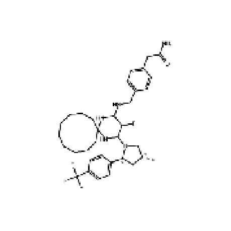 NC(=O)Cc1ccc(CNC2NC3(CCCCCCCCC3)NC(N3C[C@H](F)C[C@H]3c3ccc(C(F)(F)F)cc3)C2F)cc1